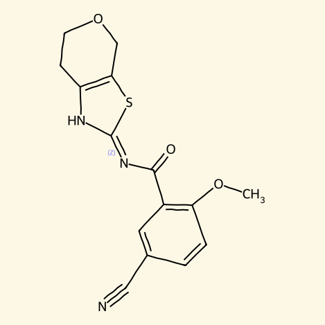 COc1ccc(C#N)cc1C(=O)/N=c1/[nH]c2c(s1)COCC2